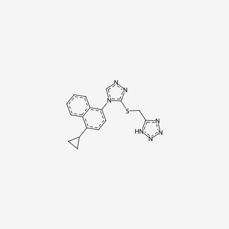 c1ccc2c(-n3cnnc3SCc3nnn[nH]3)ccc(C3CC3)c2c1